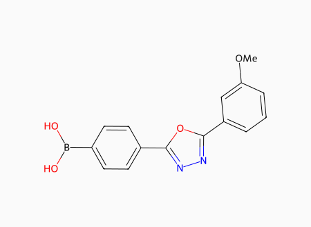 COc1cccc(-c2nnc(-c3ccc(B(O)O)cc3)o2)c1